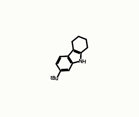 CC(C)(C)c1ccc2c3c([nH]c2c1)CCCC3